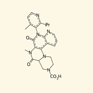 Cc1ccnc(C(C)C)c1-n1c(=O)c2c(c3cccnc31)N1CCN(C(=O)O)CC1C(=O)N2C